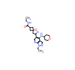 CCNC(=O)C1CC2(CC(c3cnc4c(cnn4CC)c3NC3CCOCC3)=NO2)C1